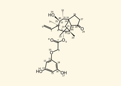 C=C[C@]1(C)C[C@@H](OC(=O)COc2cc(O)cc(O)c2)[C@]2(C)C(C)CCC3(CCC(=O)C32)[C@@H](C)[C@@H]1O